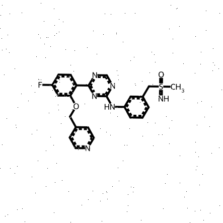 CS(=N)(=O)Cc1cccc(Nc2ncnc(-c3ccc(F)cc3OCc3ccncc3)n2)c1